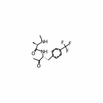 CN[C@H](C)C(=O)N[C@H](Cc1ccc(C(F)(F)F)cc1)C(C)=O